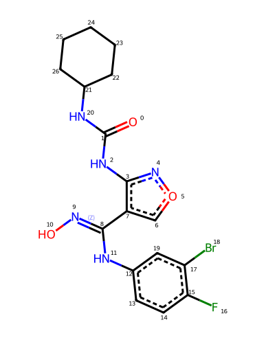 O=C(Nc1nocc1/C(=N/O)Nc1ccc(F)c(Br)c1)NC1CCCCC1